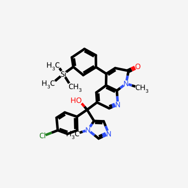 Cn1cncc1C(O)(c1ccc(Cl)cc1)c1cnc2c(c1)c(-c1cccc([Si](C)(C)C)c1)cc(=O)n2C